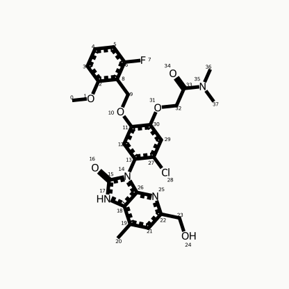 COc1cccc(F)c1COc1cc(-n2c(=O)[nH]c3c(C)cc(CO)nc32)c(Cl)cc1OCC(=O)N(C)C